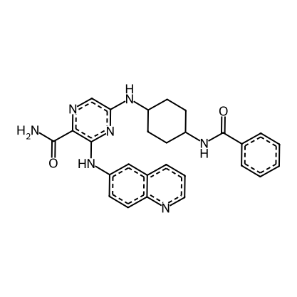 NC(=O)c1ncc(NC2CCC(NC(=O)c3ccccc3)CC2)nc1Nc1ccc2ncccc2c1